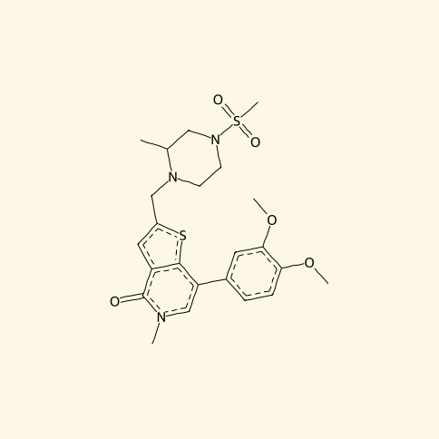 COc1ccc(-c2cn(C)c(=O)c3cc(CN4CCN(S(C)(=O)=O)CC4C)sc23)cc1OC